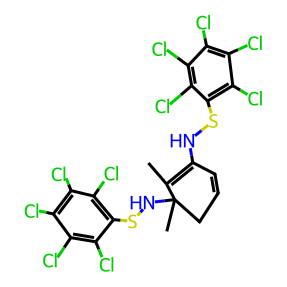 CC1=C(NSc2c(Cl)c(Cl)c(Cl)c(Cl)c2Cl)C=CCC1(C)NSc1c(Cl)c(Cl)c(Cl)c(Cl)c1Cl